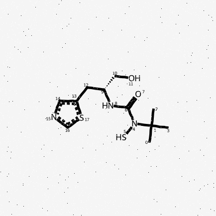 CC(C)(C)N(S)C(=O)N[C@@H](CO)Cc1cncs1